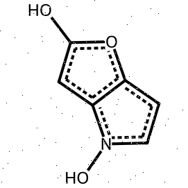 Oc1cc2c(ccn2O)o1